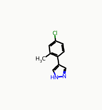 Cc1cc(Cl)ccc1-c1cn[nH]c1